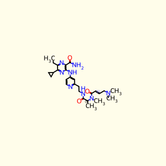 CCc1nc(C(N)=O)c(Nc2ccnc(CCNC(=O)[C@H](C)N(C)C(=O)/C=C/CN(C)C)c2)nc1C1CC1